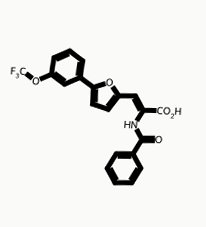 O=C(O)/C(=C/c1ccc(-c2cccc(OC(F)(F)F)c2)o1)NC(=O)c1ccccc1